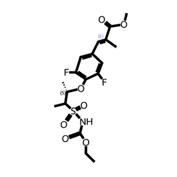 CCOC(=O)NS(=O)(=O)C(C)[C@H](C)Oc1c(F)cc(/C=C(\C)C(=O)OC)cc1F